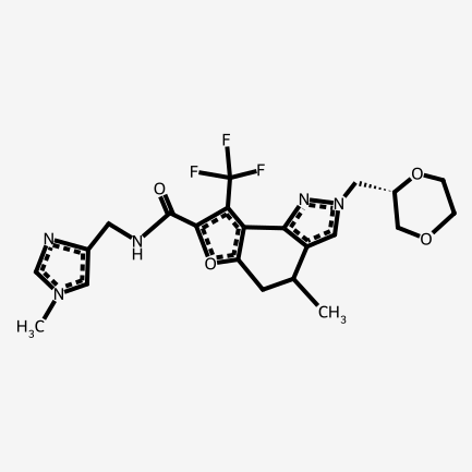 CC1Cc2oc(C(=O)NCc3cn(C)cn3)c(C(F)(F)F)c2-c2nn(C[C@H]3COCCO3)cc21